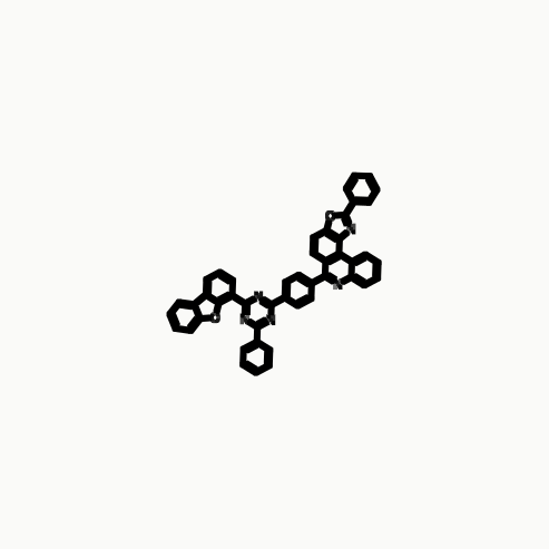 c1ccc(-c2nc(-c3ccc(-c4nc5ccccc5c5c4ccc4oc(-c6ccccc6)nc45)cc3)nc(-c3cccc4c3oc3ccccc34)n2)cc1